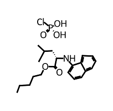 CCCCCOC(=O)[C@H](CC(C)C)Nc1cccc2ccccc12.O=P(O)(O)Cl